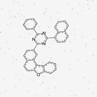 c1ccc(-c2nc(-c3ccc4ccc5oc6ccccc6c5c4c3)nc(-c3cccc4ccccc34)n2)cc1